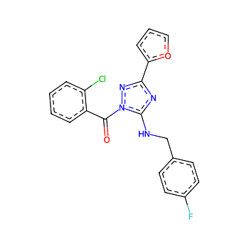 O=C(c1ccccc1Cl)n1nc(-c2ccco2)nc1NCc1ccc(F)cc1